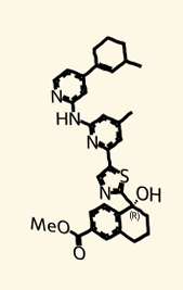 COC(=O)c1ccc2c(c1)CCC[C@]2(O)c1ncc(-c2cc(C)cc(Nc3cc(C4=CC(C)CCC4)ccn3)n2)s1